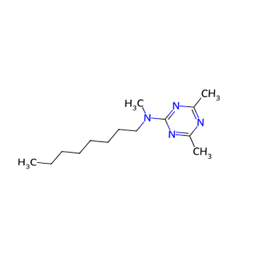 CCCCCCCCN(C)c1nc(C)nc(C)n1